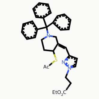 CCOC(=O)CCn1ccc(/C=C2/CN(C(c3ccccc3)(c3ccccc3)c3ccccc3)CCC2SC(C)=O)n1